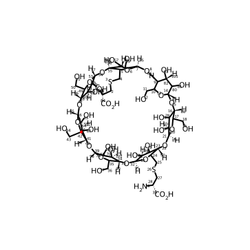 C[C@H](CSCC1O[C@@H]2O[C@@H]3C(CO)O[C@@H](O[C@@H]4C(CO)O[C@@H](O[C@@H]5C(CSC[C@@H](N)C(=O)O)O[C@@H](O[C@@H]6C(CO)O[C@H](O[C@@H]7C(CO)O[C@H](O[C@@H]8C(CO)O[C@H](O[C@H]1[C@H](O)C2O)C(O)[C@H]8O)[C@@H](O)C7O)C(O)[C@H]6O)[C@@H](O)C5O)[C@@H](O)C4O)C(O)[C@H]3O)C(=O)O